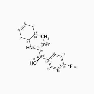 CCC[C@@H](NC1CC=CC[C@@H]1C)[C@H](O)c1ccc(F)cc1